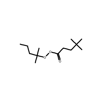 C[CH]CC(C)(C)OOC(=O)CCC(C)(C)C